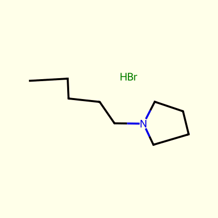 Br.CCCCCN1CCCC1